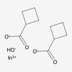 O=C([O-])C1CCC1.O=C([O-])C1CCC1.[In+3].[OH-]